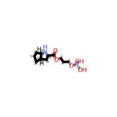 O=C(OCCCON(O)O)C1C[C@@H]2CCC[C@@H]2N1